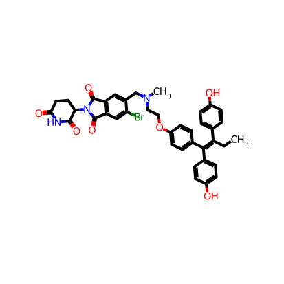 CCC(=C(c1ccc(O)cc1)c1ccc(OCCN(C)Cc2cc3c(cc2Br)C(=O)N(C2CCC(=O)NC2=O)C3=O)cc1)c1ccc(O)cc1